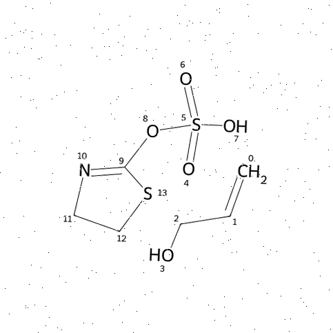 C=CCO.O=S(=O)(O)OC1=NCCS1